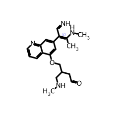 CNCC(CC=O)COc1cc(/C(C=N)=C(\C)NC)cc2ncccc12